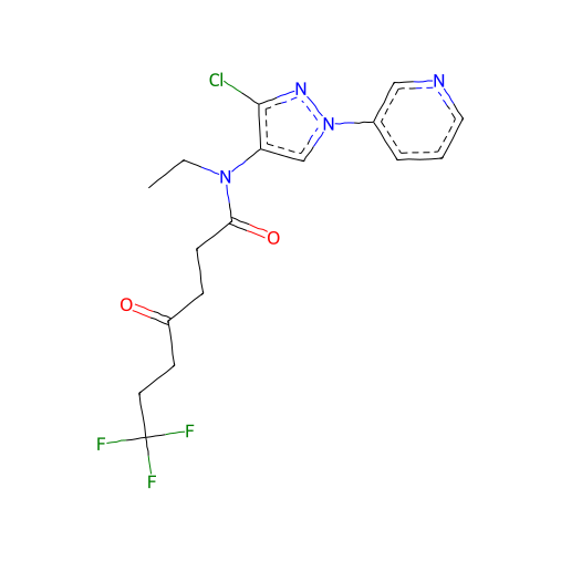 CCN(C(=O)CCC(=O)CCC(F)(F)F)c1cn(-c2cccnc2)nc1Cl